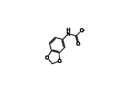 [O]C(=O)Nc1ccc2c(c1)OCO2